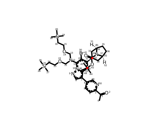 CC(=O)c1ccc(-c2cnn3c(N(COCC[Si](C)(C)C)COCC[Si](C)(C)C)c(Br)c([C@H]4C[C@H]5CC[C@@H](C4)N5C(=O)OC(C)(C)C)nc23)cn1